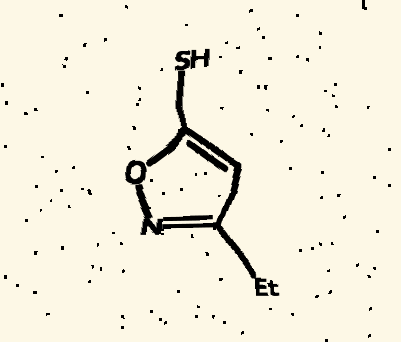 CCc1cc(S)on1